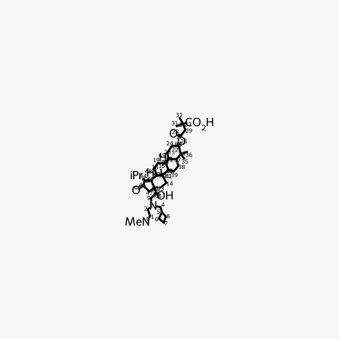 CNCCN(CC1CCC1)C[C@H](O)[C@@]12CC[C@]3(C)[C@H](CC[C@@H]4[C@@]5(C)CC[C@H](OC(=O)CC(C)(C)C(=O)O)C(C)(C)C5CC[C@]43C)C1=C(C(C)C)C(=O)C2